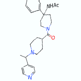 CC(=O)NC1(c2ccccc2)CCN(C(=O)C2CCN(C(C)c3ccncc3)CC2)CC1